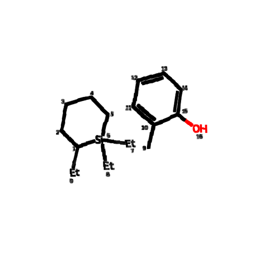 CCC1CCCC[Si]1(CC)CC.Cc1ccccc1O